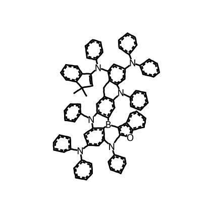 CC1(C)C=C(N(c2ccccc2)c2cc(N(c3ccccc3)c3ccccc3)cc3c2Cc2cc4c(cc2N3c2ccccc2)B2c3c(cc(N(c5ccccc5)c5ccccc5)cc3N(c3ccccc3)c3oc5ccccc5c32)N4c2ccccc2)c2ccccc21